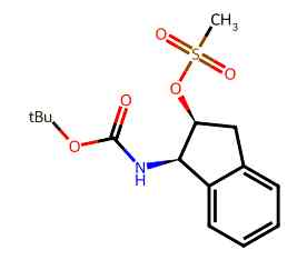 CC(C)(C)OC(=O)N[C@@H]1c2ccccc2C[C@@H]1OS(C)(=O)=O